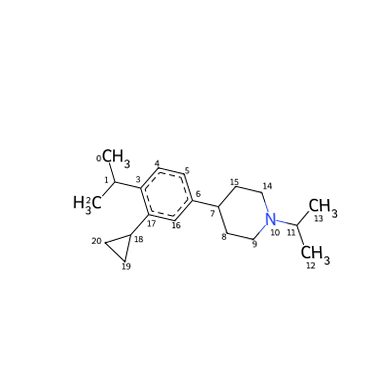 CC(C)c1ccc(C2CCN(C(C)C)CC2)cc1C1CC1